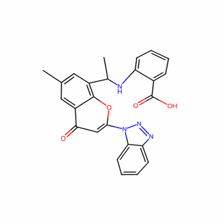 Cc1cc(C(C)Nc2ccccc2C(=O)O)c2oc(-n3nnc4ccccc43)cc(=O)c2c1